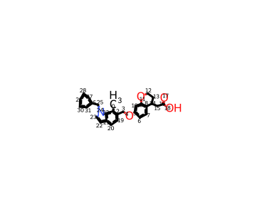 Cc1c(COc2ccc3c(c2)OCCC3CC(=O)O)ccc2ccn(Cc3ccccc3)c12